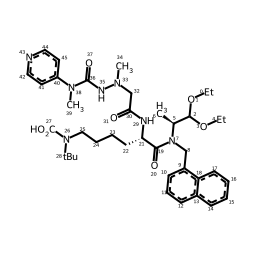 CCOC(OCC)[C@H](C)N(Cc1cccc2ccccc12)C(=O)[C@H](CCCCN(C(=O)O)C(C)(C)C)NC(=O)CN(C)NC(=O)N(C)c1ccncc1